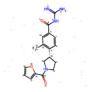 N=C(N)NC(=O)c1ccc([C@@H]2CCN(C(=O)c3ccco3)C2)c(C(F)(F)F)c1